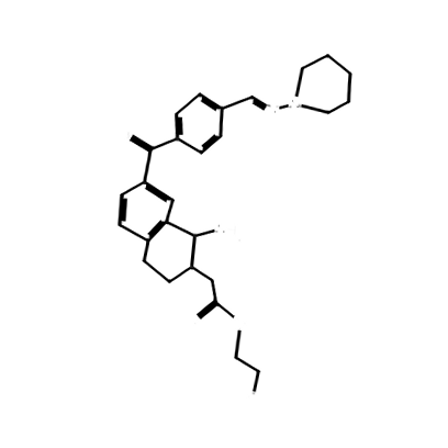 NC1c2cc(C(=O)c3ccc(C=NN4CCCCC4)cc3)ccc2CCC1CC(=O)OCCO